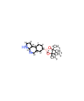 CC1(C)OB(c2ccc3c(cnc4[nH]ccc43)c2)OC1(C)C